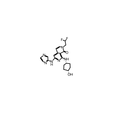 O=c1c2c(N[C@H]3CC[C@@H](O)CC3)nc(Nc3cnccn3)cc2ccn1CC(F)F